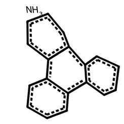 N.c1ccc2c(c1)c1ccccc1c1ccccc21